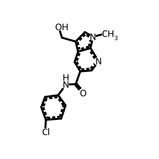 Cn1cc(CO)c2cc(C(=O)Nc3ccc(Cl)cc3)cnc21